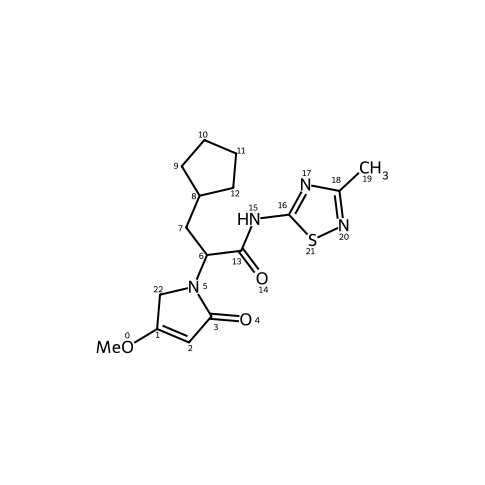 COC1=CC(=O)N(C(CC2CCCC2)C(=O)Nc2nc(C)ns2)C1